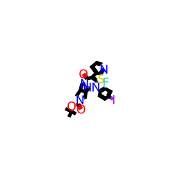 CC(C)(C)OC(=O)N1CC2=CN(C(=O)c3c(Nc4ccc(I)cc4F)sc4ncccc34)CC2C1